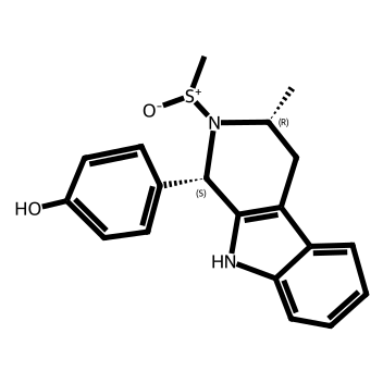 C[C@@H]1Cc2c([nH]c3ccccc23)[C@H](c2ccc(O)cc2)N1[S+](C)[O-]